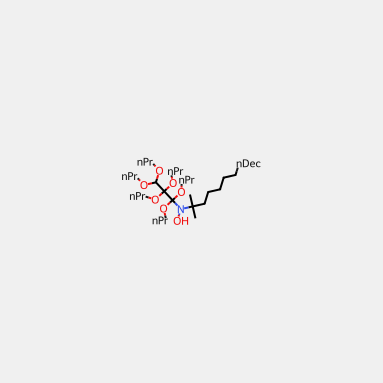 CCCCCCCCCCCCCCCC(C)(C)N(O)C(OCCC)(OCCC)C(OCCC)(OCCC)C(OCCC)OCCC